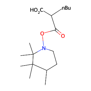 CCCCC(C(=O)O)C(=O)ON1CCC(C)C(C)(C)C1(C)C